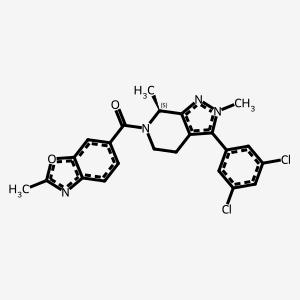 Cc1nc2ccc(C(=O)N3CCc4c(nn(C)c4-c4cc(Cl)cc(Cl)c4)[C@@H]3C)cc2o1